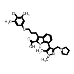 Cc1cc(OCCCc2c(C(=O)O)[nH]c3c(-c4c(CN5CCCC5)nn(C)c4C)cccc23)cc(C)c1Cl